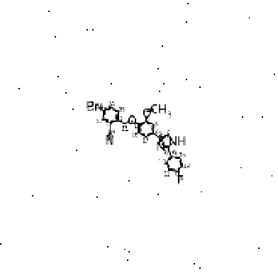 COc1cc(-c2c[nH]c(-c3ccc(F)cc3)n2)ccc1OCc1ccc(Br)cc1C#N